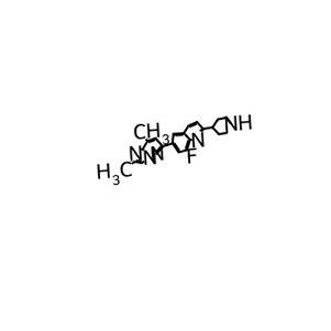 Cc1cn2nc(-c3cc(F)c4nc(C5CCNCC5)ccc4c3)cc(C)c2n1